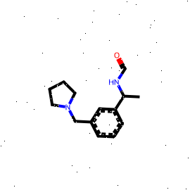 CC(NC=O)c1cccc(CN2CCCC2)c1